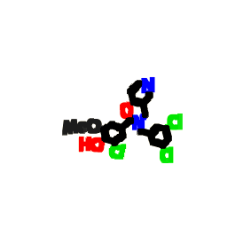 COc1cc(C(=O)N(Cc2cccnc2)Cc2cc(Cl)cc(Cl)c2)cc(Cl)c1O